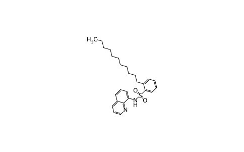 CCCCCCCCCCCc1ccccc1S(=O)(=O)Nc1cccc2cccnc12